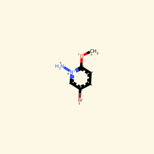 COc1ccc(Br)c[n+]1N